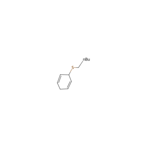 CCCCCSC1C=CCC=C1